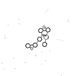 C1=CC(c2ccccc2)CC=C1c1cccc2oc3cccc(Nc4ccc(-c5ccc6oc7ccccc7c6c5)cc4)c3c12